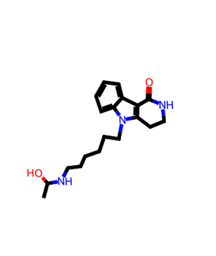 CC(O)NCCCCCCn1c2c(c3ccccc31)C(=O)NCC2